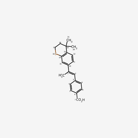 C/C(=C\c1ccc(C(=O)O)cc1)c1ccc2c(c1)SCCC2(C)C